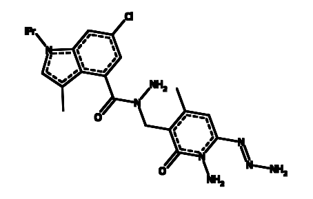 Cc1cc(N=NN)n(N)c(=O)c1CN(N)C(=O)c1cc(Cl)cc2c1c(C)cn2C(C)C